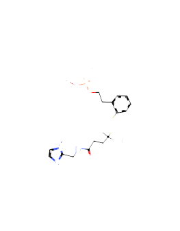 CC(C)OP(=O)(OCCc1ccccc1SSC(C)(C)CCC(=O)NCc1nccn1C)OC(C)(C)C